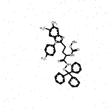 Cc1ccc(-n2c(CCC(NC(=O)OC(C)(C)C)C(=O)NOC(c3ccccc3)(c3ccccc3)c3ccccc3)nc3cc(C)c(C)cc32)cc1